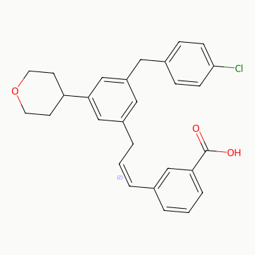 O=C(O)c1cccc(/C=C\Cc2cc(Cc3ccc(Cl)cc3)cc(C3CCOCC3)c2)c1